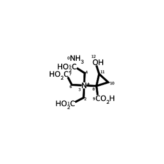 N.O=C(O)C[N+](CC(=O)O)(CC(=O)O)C1(C(=O)O)CC1O